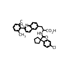 Cc1cccc(C)c1-c1ccc2cc(CC(NC(=O)C3(c4ccc(Cl)cc4)CCCC3)C(=O)O)ccc2n1